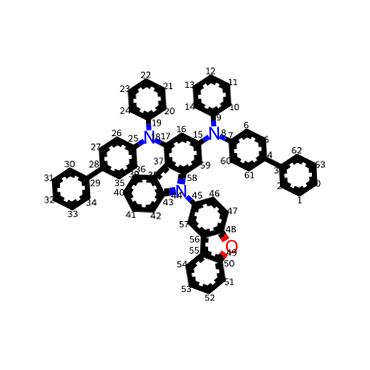 c1ccc(-c2ccc(N(c3ccccc3)c3cc(N(c4ccccc4)c4ccc(-c5ccccc5)cc4)c4c5ccccc5n(-c5ccc6oc7ccccc7c6c5)c4c3)cc2)cc1